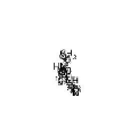 COc1cccc(CNc2ncc(-c3ccccc3)n(CCNCc3cc4cnccc4[nH]3)c2=O)c1